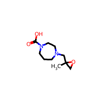 CC1(CN2CCCN(C(=O)O)CC2)CO1